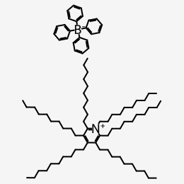 CCCCCCCCCCc1c(CCCCCCCCCC)c(CCCCCCCCCC)[n+](CCCCCCCCCC)c(CCCCCCCCCC)c1CCCCCCCCCC.c1ccc([B-](c2ccccc2)(c2ccccc2)c2ccccc2)cc1